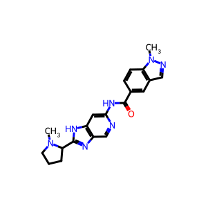 CN1CCCC1c1nc2cnc(NC(=O)c3ccc4c(cnn4C)c3)cc2[nH]1